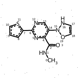 CNC(=O)c1nc(-c2cccs2)ncc1N1NC=CO1